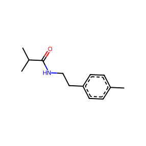 Cc1ccc(CCNC(=O)C(C)C)cc1